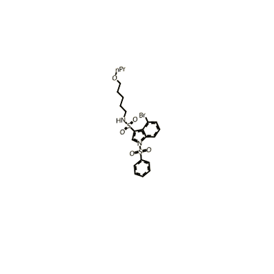 CCCOCCCCCNS(=O)(=O)c1cn(S(=O)(=O)c2ccccc2)c2cccc(Br)c12